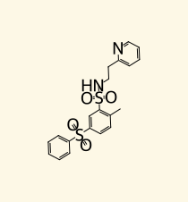 Cc1ccc(S(=O)(=O)c2ccccc2)cc1S(=O)(=O)NCCc1ccccn1